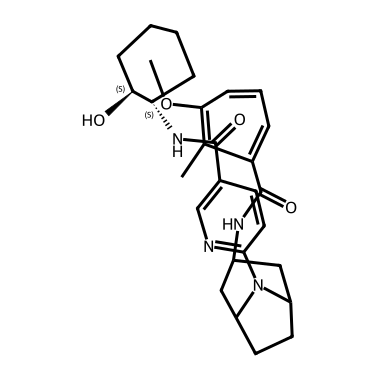 COc1cccc(C(=O)NC2CC3CCC(C2)N3c2ccc(C(=O)N[C@H]3CCCC[C@@H]3O)cn2)c1C